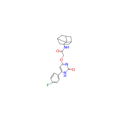 O=C(COc1cc(-c2ccc(F)cc2)[nH]c(=O)n1)NC12CC3CC(CC(C3)C1)C2